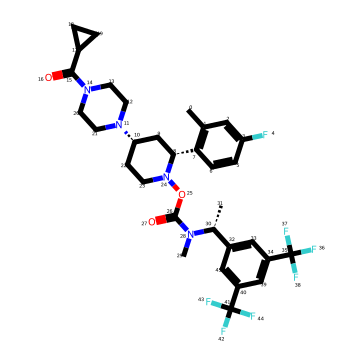 Cc1cc(F)ccc1[C@H]1C[C@@H](N2CCN(C(=O)C3CC3)CC2)CCN1OC(=O)N(C)[C@H](C)c1cc(C(F)(F)F)cc(C(F)(F)F)c1